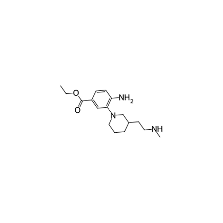 CCOC(=O)c1ccc(N)c(N2CCCC(CCNC)C2)c1